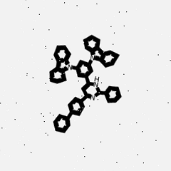 C1=C(c2cc(-n3c4ccccc4c4ccccc43)cc(-n3c4ccccc4c4ccccc43)c2)NC(c2ccccc2)N=C1c1ccc(-c2ccccc2)cc1